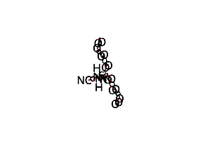 C=CC(=O)OCOc1ccc(OC(=O)C2CCC(C(=O)OCCc3ccc(OC(=O)C4CCC(C(=O)Oc5ccc(OCOC(=O)C=C)cc5)CC4)c4nc(NNc5ccc(C#N)cc5)sc34)CC2)cc1